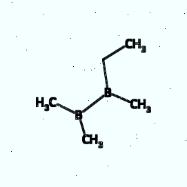 CCB(C)B(C)C